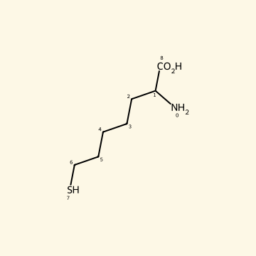 NC(CCCCCS)C(=O)O